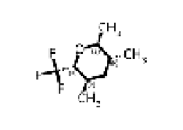 C[C@@H]1C[C@@H](C)[C@H](C(F)(F)F)O[C@H]1C